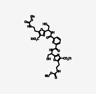 CCOC(=O)c1nc(C(CO)NC(=O)c2cccc(C(=O)NC(CO)c3nc(C(=O)OCC)c(CCNC(=O)OC(C)(C)C)o3)n2)oc1CCNC(=O)OC(C)(C)C